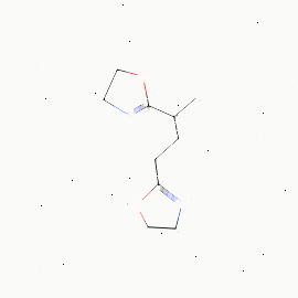 CC(CCC1=NCCO1)C1=NCCO1